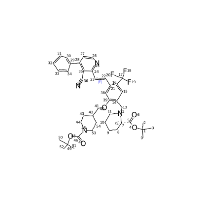 CC(C)(C)OC(=O)[C@@H]1CCCCN1Cc1cc(C(F)(F)F)c(/C=C/c2nccc(-c3ccccc3)c2C#N)cc1OCC1CCN(C(=O)OC(C)(C)C)CC1